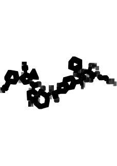 CCCOC(=O)[C@H](C)NP(=O)(Oc1ccccc1)[C@@H](F)c1ccc2sc(C(=O)N[C@H]3CCCC[C@H]4CC[C@@H](C(=O)N5C[C@H](c6cccc(C#N)c6)[C@@H](C#N)C56CC6)N4C3=O)cc2c1